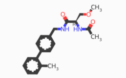 COC[C@@H](NC(C)=O)C(=O)NCc1ccc(-c2ccccc2C)cc1